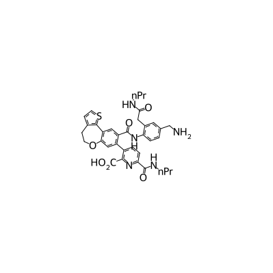 CCCNC(=O)Cc1cc(CN)ccc1NC(=O)c1cc2c(cc1-c1ccc(C(=O)NCCC)nc1C(=O)O)OCCc1ccsc1-2